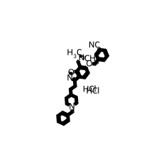 CN(C)Cc1c(OCc2cccc(C#N)c2)ccc2c(CCC3CCN(Cc4ccccc4)CC3)noc12.Cl.Cl